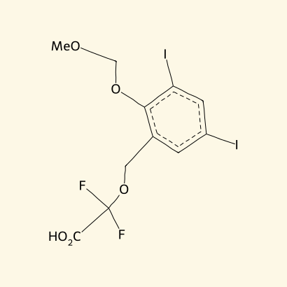 COCOc1c(I)cc(I)cc1COC(F)(F)C(=O)O